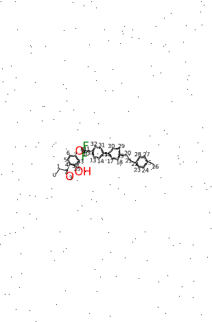 CCC(=O)c1ccc(OC(F)(F)c2ccc(-c3ccc(CCc4ccc(C)cc4)cc3)cc2)cc1O